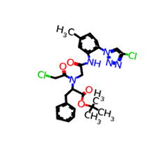 Cc1ccc(-n2cc(Cl)nn2)c(NC(=O)CN(C(=O)CCl)C(Cc2ccccc2)C(=O)OC(C)(C)C)c1